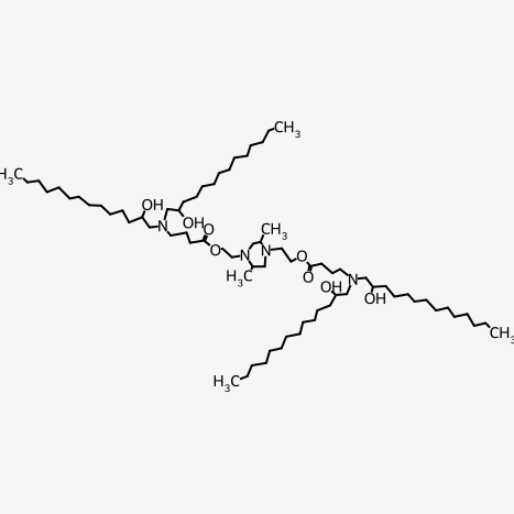 CCCCCCCCCCCCC(O)CN(CCCC(=O)OCCN1CC(C)N(CCOC(=O)CCCN(CC(O)CCCCCCCCCCCC)CC(O)CCCCCCCCCCCC)CC1C)CC(O)CCCCCCCCCCCC